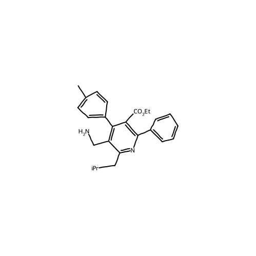 CCOC(=O)c1c(-c2ccccc2)nc(CC(C)C)c(CN)c1-c1ccc(C)cc1